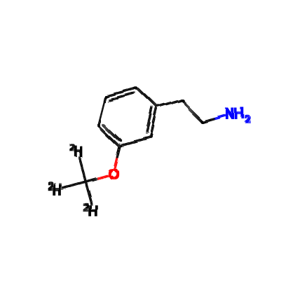 [2H]C([2H])([2H])Oc1cccc(CCN)c1